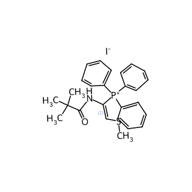 CS/C=C(/NC(=O)C(C)(C)C)[P+](c1ccccc1)(c1ccccc1)c1ccccc1.[I-]